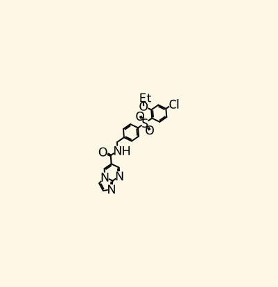 CCOc1cc(Cl)ccc1S(=O)(=O)c1ccc(CNC(=O)c2cnc3nccn3c2)cc1